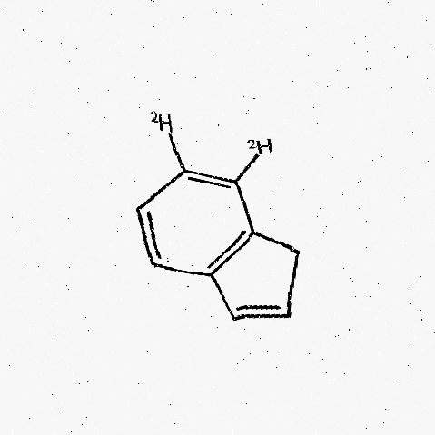 [2H]c1ccc2c(c1[2H])CC=C2